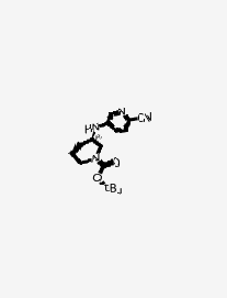 CC(C)(C)OC(=O)N1CCC[C@@H](Nc2ccc(C#N)nc2)C1